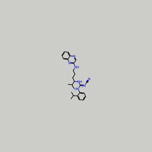 CC(C)c1ccccc1N/C(=N/C#N)NC(CCCNc1cnc2ccccc2n1)C(C)C